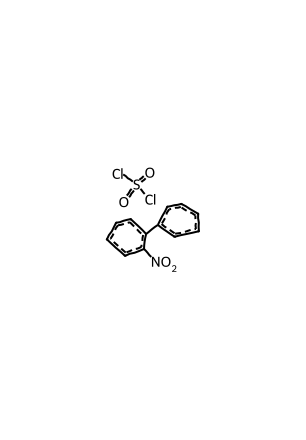 O=S(=O)(Cl)Cl.O=[N+]([O-])c1ccccc1-c1ccccc1